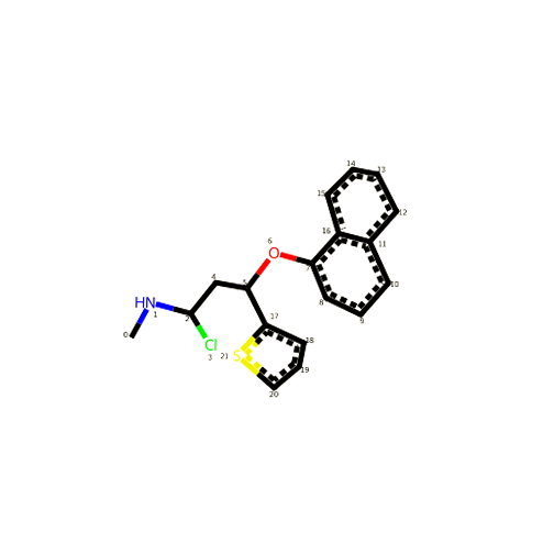 CNC(Cl)CC(Oc1cccc2ccccc12)c1cccs1